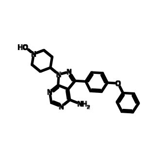 Nc1ncnc2c1c(-c1ccc(Oc3ccccc3)cc1)nn2C1CCN(O)CC1